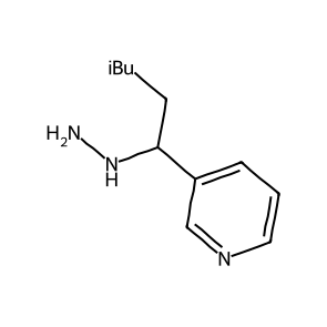 CCC(C)CC(NN)c1cccnc1